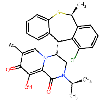 CC(=O)c1cn2c(c(O)c1=O)C(=O)N([C@H](C)C(F)(F)F)CC2[C@@H]1c2ccccc2S[C@@H](C)c2cccc(Cl)c21